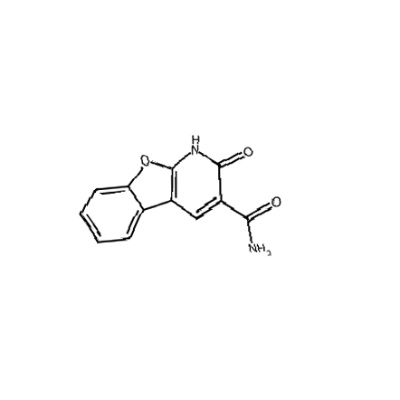 NC(=O)c1cc2c([nH]c1=O)oc1ccccc12